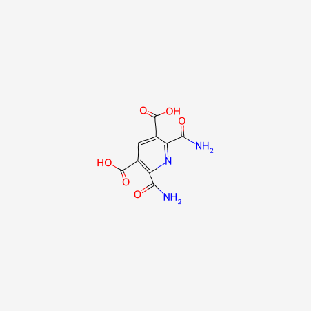 NC(=O)c1nc(C(N)=O)c(C(=O)O)cc1C(=O)O